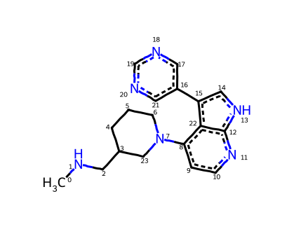 CNCC1CCCN(c2ccnc3[nH]cc(-c4cncnc4)c23)C1